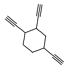 C#CC1CCC(C#C)C(C#C)C1